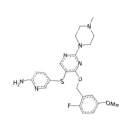 COc1ccc(F)c(COc2nc(N3CCN(C)CC3)ncc2Sc2ccc(N)nc2)c1